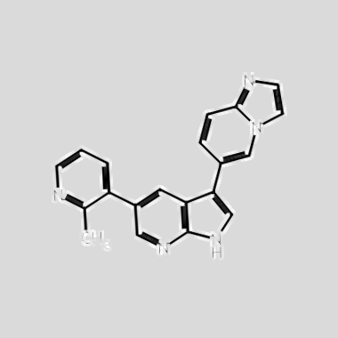 Cc1ncccc1-c1cnc2[nH]cc(-c3ccc4nccn4c3)c2c1